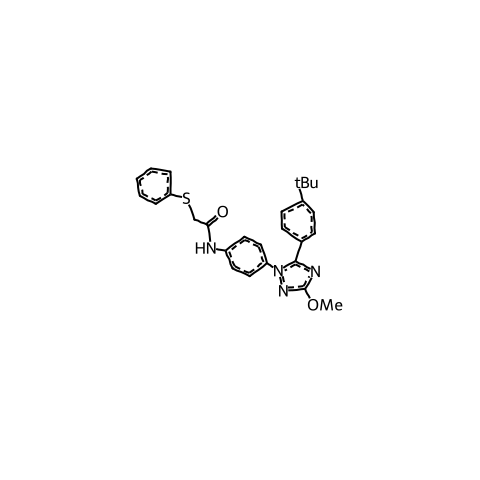 COc1nc(-c2ccc(C(C)(C)C)cc2)n(-c2ccc(NC(=O)CSc3ccccc3)cc2)n1